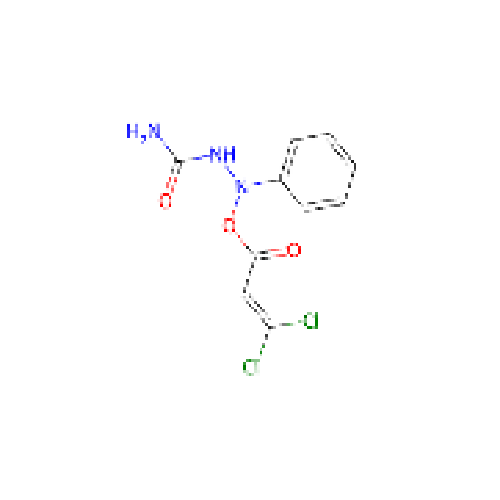 NC(=O)NN(OC(=O)C=C(Cl)Cl)c1ccccc1